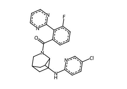 O=C(c1cccc(F)c1-c1ncccn1)N1CC2CCC1C(Nc1ccc(Cl)cn1)C2